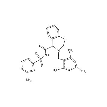 Cc1cc(C)c(CN2CCc3ccccc3C2C(=O)NS(=O)(=O)c2cccc(N)c2)c(C)c1